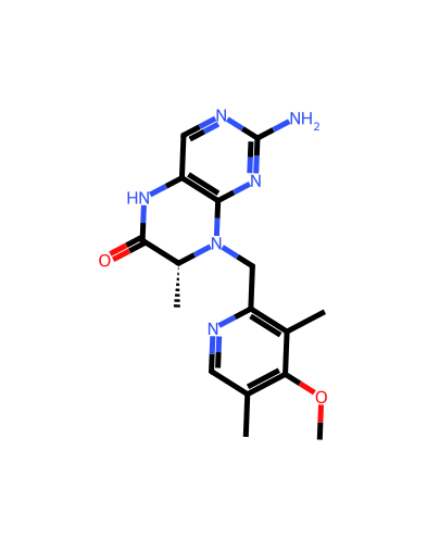 COc1c(C)cnc(CN2c3nc(N)ncc3NC(=O)[C@H]2C)c1C